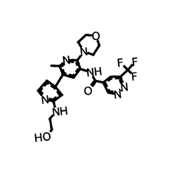 Cc1nc(N2CCOCC2)c(NC(=O)c2cnnc(C(F)(F)F)c2)cc1-c1ccnc(NCCO)c1